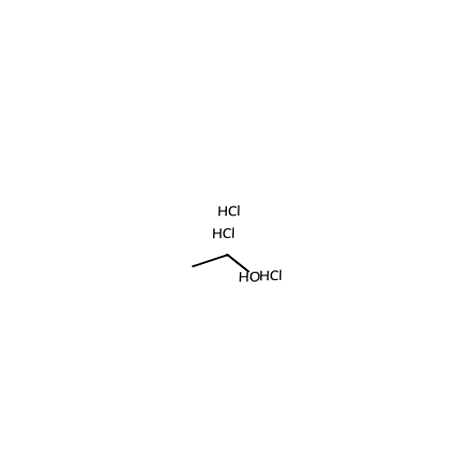 CCO.Cl.Cl.Cl